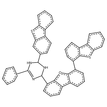 c1ccc(C2=NC(c3cccc4c3oc3c(-c5cccc6c5sc5ccccc56)cccc34)NC(c3ccc4c(c3)sc3ccccc34)N2)cc1